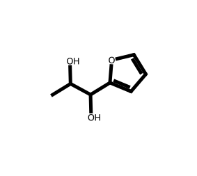 CC(O)C(O)c1ccco1